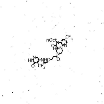 CCCCCCCCN1C(=O)[C@H]2CN(C(=O)CCOC[C@H](C)Nc3cn[nH]c(=O)c3C(F)(F)F)CCN2c2ncc(C(F)(F)F)cc21